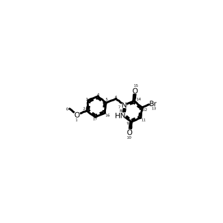 COc1ccc(Cn2[nH]c(=O)cc(Br)c2=O)cc1